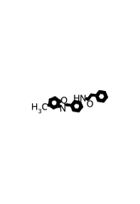 Cc1ccc2oc(-c3cccc(NC(=O)Cc4ccccc4)c3)nc2c1